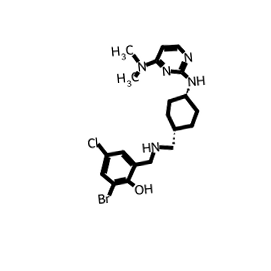 CN(C)c1ccnc(N[C@H]2CC[C@@H](CNCc3cc(Cl)cc(Br)c3O)CC2)n1